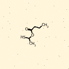 CCCC(=O)OC(C)S